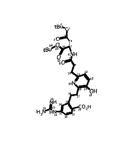 CC(C)(C)OC(=O)C[C@H](NC(=O)CCc1ccc(O)c(CCc2cc(NC(=N)N)ccc2C(=O)O)n1)C(=O)OC(C)(C)C